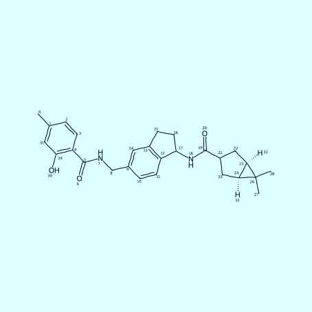 Cc1ccc(C(=O)NCc2ccc3c(c2)CCC3NC(=O)C2C[C@@H]3[C@H](C2)C3(C)C)c(O)c1